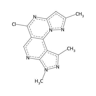 Cc1cc2nc(Cl)c3cnc4c(c(C)nn4C)c3n2n1